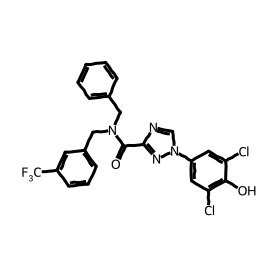 O=C(c1ncn(-c2cc(Cl)c(O)c(Cl)c2)n1)N(Cc1ccccc1)Cc1cccc(C(F)(F)F)c1